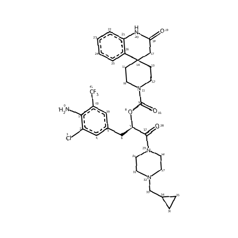 Nc1c(Cl)cc(C[C@@H](OC(=O)N2CCC3(CC2)CC(=O)Nc2ccccc23)C(=O)N2CCN(CC3CC3)CC2)cc1C(F)(F)F